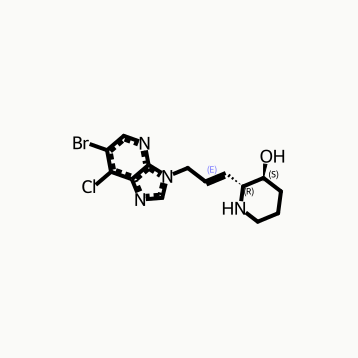 O[C@H]1CCCN[C@@H]1/C=C/Cn1cnc2c(Cl)c(Br)cnc21